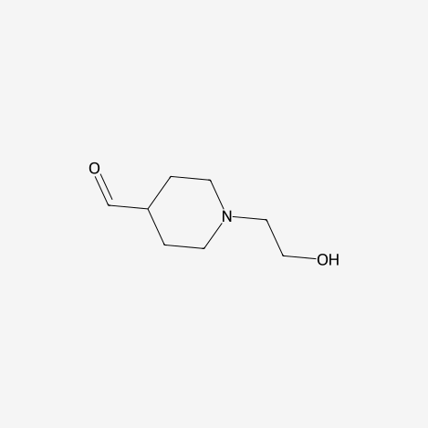 O=CC1CCN(CCO)CC1